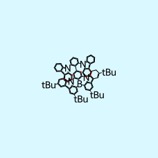 CC(C)(C)C1=Cc2c(n3c4c(cc(C(C)(C)C)cc24)B2c4c-3cc(-c3c(-n5c6ccccc6c6ccccc65)cccc3-n3c5ccccc5c5ccccc53)cc4-n3c4ccc(C(C)(C)C)cc4c4cc(C(C)(C)C)cc2c43)CC1